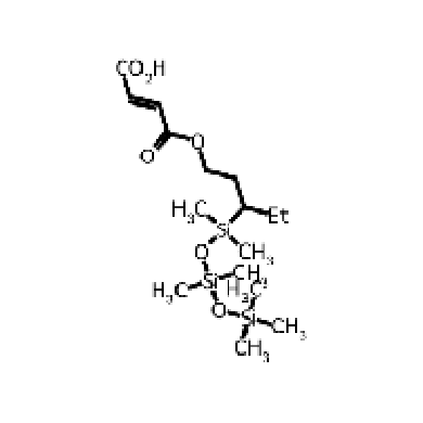 CCC(CCOC(=O)C=CC(=O)O)[Si](C)(C)O[Si](C)(C)O[Si](C)(C)C